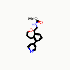 COC(=O)NCC1OCCCc2c(-c3ccncc3)cccc21